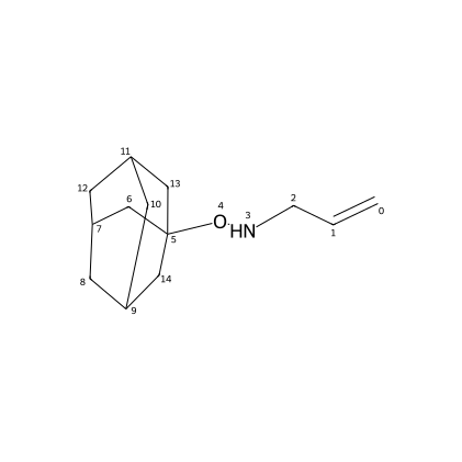 C=CCNOC12CC3CC(CC(C3)C1)C2